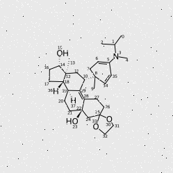 CC(C)N(C)C1=CCC(C)([C@H]2C[C@]3(C)[C@@H](O)CC[C@H]3[C@@H]3CC[C@@]4(O)CC5(CCC4=C32)OCCO5)C=C1